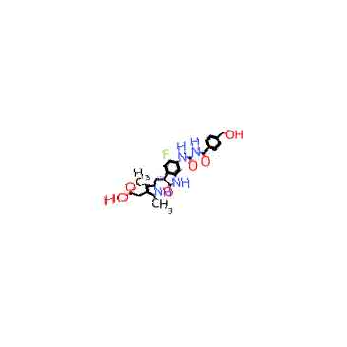 Cc1[nH]c(/C=C2\C(=O)Nc3cc(NC(=O)NC(=O)c4ccc(CO)cc4)c(F)cc32)c(C)c1CC(=O)O